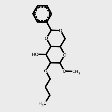 CCCCOC1C(OC)OC2COC(c3ccccc3)OC2C1O